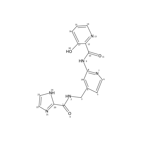 O=C(NCc1ccnc(NC(=O)c2ncccc2O)c1)c1ncc[nH]1